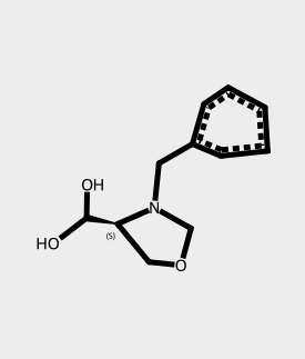 OC(O)[C@@H]1COCN1Cc1ccccc1